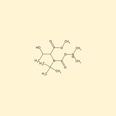 COC(=O)C(C(C)O)N(C(=O)O[SiH](C)C)C(C)(C)C